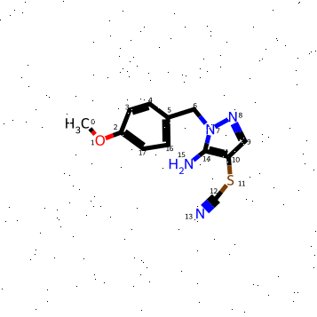 COc1ccc(Cn2ncc(SC#N)c2N)cc1